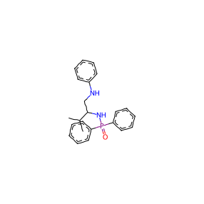 CC(C)C(CNc1ccccc1)NP(=O)(c1ccccc1)c1ccccc1